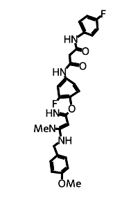 CN/C(=C\C(=N)Oc1ccc(NC(=O)CC(=O)Nc2ccc(F)cc2)cc1F)NCc1ccc(OC)cc1